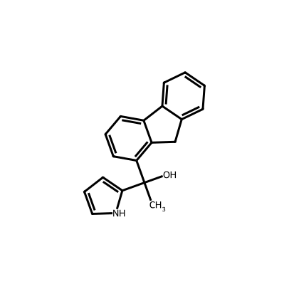 CC(O)(c1ccc[nH]1)c1cccc2c1Cc1ccccc1-2